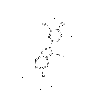 Cc1ccc(-c2cc3cnc(N)cc3n2C)nc1N